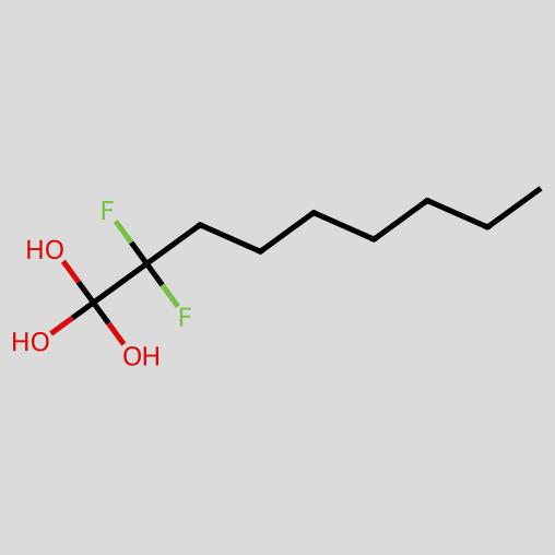 CCCCCCCC(F)(F)C(O)(O)O